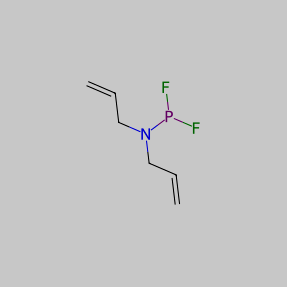 C=CCN(CC=C)P(F)F